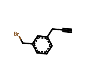 C#CCc1cccc(CBr)c1